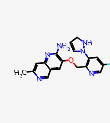 Cc1cc2nc(N)c(OCc3ncc(F)cc3N3C=CCN3)cc2cn1